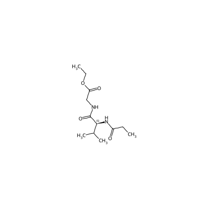 CCOC(=O)CNC(=O)[C@@H](NC(=O)CC)C(C)C